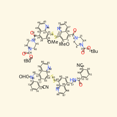 COc1cc(C(=O)N2CCN(C(=O)OC(C)(C)C)CC2)c2cccnc2c1SSc1c(OC)cc(C(=O)N2CCN(C(=O)OC(C)(C)C)CC2)c2cccnc12.N#Cc1cccc(C(=O)NCc2ccc(SSc3ccc(CN(C=O)c4cccc(C#N)c4)c4cccnc34)c3ncccc23)c1